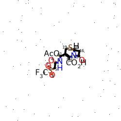 CC(=O)OC(NC(=O)CS(=O)(=O)C(F)(F)F)C1=C(C(=O)O)N2C(=O)C[C@H]2SC1